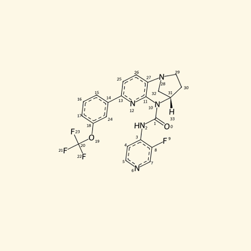 O=C(Nc1ccncc1F)N1c2nc(-c3cccc(OC(F)(F)F)c3)ccc2N2CC[C@H]1C2